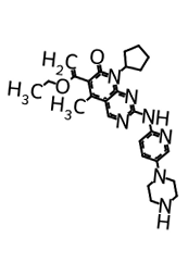 C=C(OCC)c1c(C)c2cnc(Nc3ccc(N4CCNCC4)cn3)nc2n(C2CCCC2)c1=O